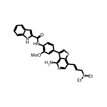 CCN(CC)C/C=C/c1cnc(N)c2c(-c3ccc(NC(=O)c4cc5ccccc5[nH]4)c(OC)c3)csc12